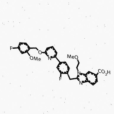 COCCn1c(Cc2ccc(-c3cccc(OCc4ccc(F)cc4OC)n3)cc2F)nc2ccc(C(=O)O)cc21